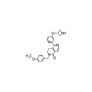 COc1ccc(CN2CCc3c(ccnc3-c3cc(OC4CNC4)ccn3)C2=O)cc1